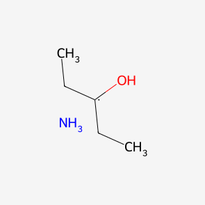 CC[C](O)CC.N